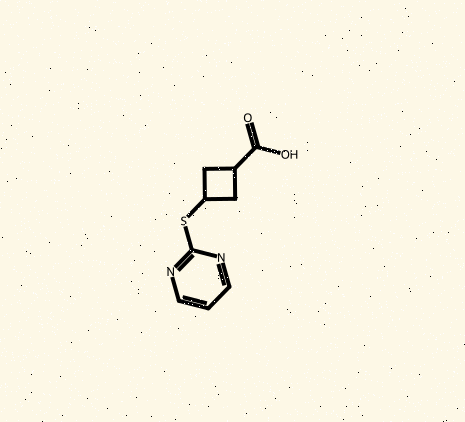 O=C(O)C1CC(Sc2ncccn2)C1